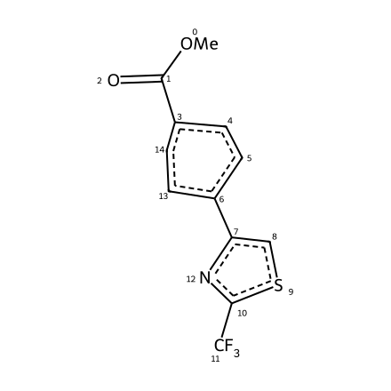 COC(=O)c1ccc(-c2csc(C(F)(F)F)n2)cc1